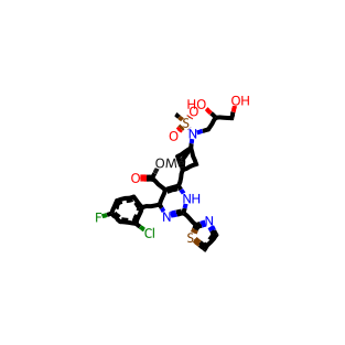 COC(=O)C1=C(C23CC(N(CC(O)CO)S(C)(=O)=O)(C2)C3)NC(c2nccs2)=NC1c1ccc(F)cc1Cl